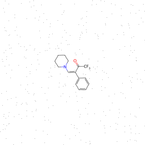 O=C(/C(=C\N1CCCCC1)c1ccccc1)C(F)(F)F